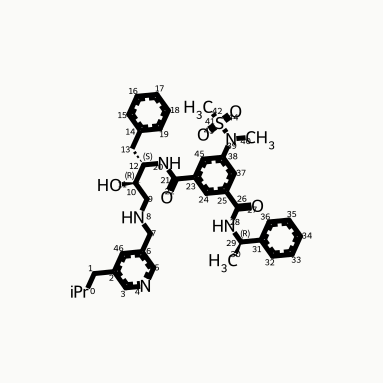 CC(C)Cc1cncc(CNC[C@@H](O)[C@H](Cc2ccccc2)NC(=O)c2cc(C(=O)N[C@H](C)c3ccccc3)cc(N(C)S(C)(=O)=O)c2)c1